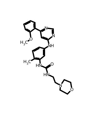 COc1ccccc1-c1cc(Nc2ccc(C)c(NC(=O)NCCN3CCOCC3)c2)ncn1